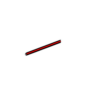 S=S=S=S=S=S=S=S=S=S=S=S=S=S=S=S=S=S=S=S=S=S=S=S=S=S=S=S=S=S=S=S=S=S=S=S=S=S=S=S=S=S=S=S=S=S=S=S=S=S=S=S=S=S=S=S=S=S=S=S=S=S=S=S=S=S=S=S=S=S=S=S=S=S=S=S=S=S=S=S=S=S=S=S=S=S=S=S=S=S=S=S=S=S=S=S=S=S=S=S=S=S=S=S=S=S